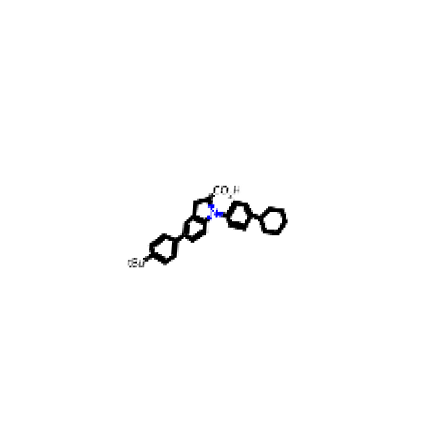 CC(C)(C)c1ccc(-c2ccc3c(c2)CC(C(=O)O)N3c2ccc(C3CCCCC3)cc2)cc1